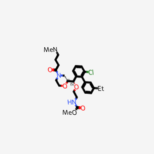 CCc1cccc(-c2c(Cl)cccc2[C@H](OCCNC(=O)OC)[C@H]2CN(C(=O)CCCNC)CCO2)c1